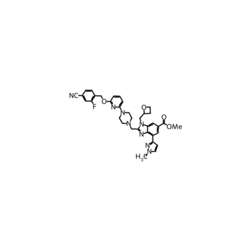 COC(=O)c1cc(-c2ccn(C)n2)c2nc(CN3CCN(c4cccc(OCc5ccc(C#N)cc5F)n4)CC3)n(CC3CCO3)c2c1